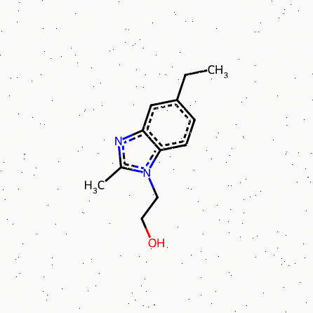 CCc1ccc2c(c1)nc(C)n2CCO